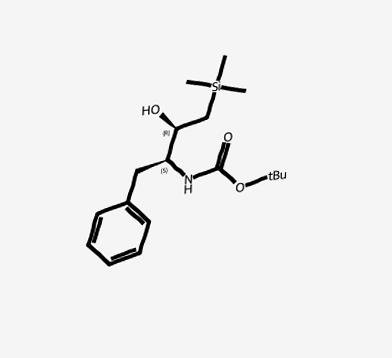 CC(C)(C)OC(=O)N[C@@H](Cc1ccccc1)[C@@H](O)C[Si](C)(C)C